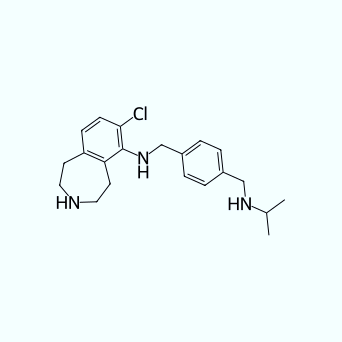 CC(C)NCc1ccc(CNc2c(Cl)ccc3c2CCNCC3)cc1